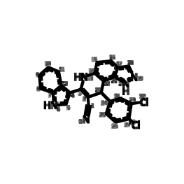 N#CC1=C(c2c[nH]c3ccccc23)Nc2ccc3cn[nH]c3c2C1c1ccc(Cl)c(Cl)c1